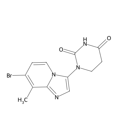 Cc1c(Br)ccn2c(N3CCC(=O)NC3=O)cnc12